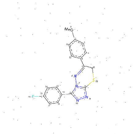 COc1ccc(C2=Nn3c(nnc3-c3ccc(F)cc3)SC2)cc1